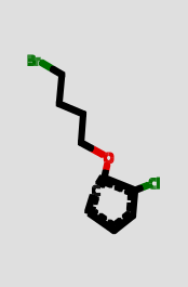 Clc1ccccc1OCCCCBr